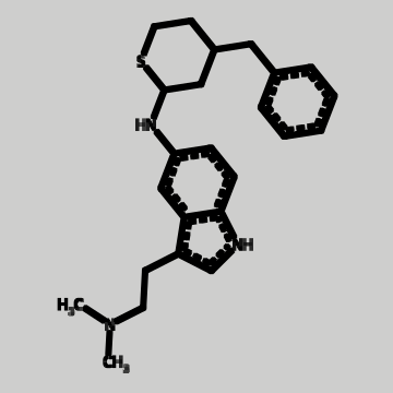 CN(C)CCc1c[nH]c2ccc(NC3CC(Cc4ccccc4)CCS3)cc12